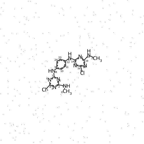 CNc1nc(Cl)nc(Nc2ccc(Nc3nc(Cl)nc(NC)n3)cc2)n1